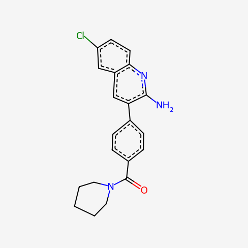 Nc1nc2ccc(Cl)cc2cc1-c1ccc(C(=O)N2CCCCC2)cc1